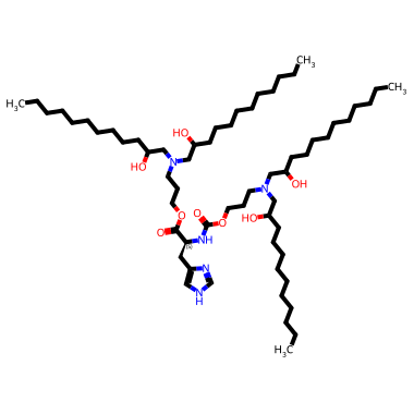 CCCCCCCCCCC(O)CN(CCCOC(=O)N[C@@H](Cc1c[nH]cn1)C(=O)OCCCN(CC(O)CCCCCCCCCC)CC(O)CCCCCCCCCC)CC(O)CCCCCCCCCC